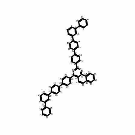 c1ccc(-c2cccc(-c3ccc(-c4ccc(-c5nc(-c6ccc(-c7ccc(-c8cccc(-c9ccccc9)c8)cc7)cc6)c6ccc7ccccc7c6n5)cc4)cc3)c2)cc1